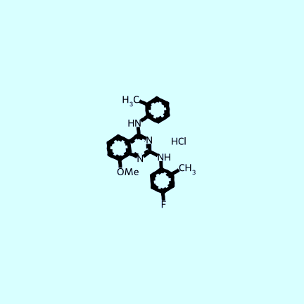 COc1cccc2c(Nc3ccccc3C)nc(Nc3ccc(F)cc3C)nc12.Cl